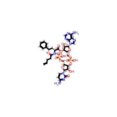 C=CCCC(=O)N[C@@H](CCc1ccccc1)C(=O)O[C@H]1[C@@H](O)[C@H](n2cnc3c(N)ncnc32)O[C@@H]1COP(=O)(O)O[C@H]1[C@@H](O)[C@H](n2ccc(N)nc2=O)O[C@@H]1COP(=O)(O)O